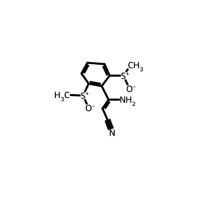 C[S+]([O-])c1cccc([S+](C)[O-])c1C(N)=CC#N